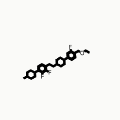 CCOCc1ccc(C2CCC(CCc3ccc(C4CCC(C)CC4)c(F)c3F)CC2)cc1F